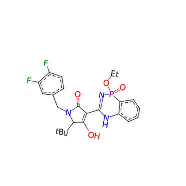 CCOP1(=O)N=C(C2=C(O)C(C(C)(C)C)N(Cc3ccc(F)c(F)c3)C2=O)Nc2ccccc21